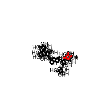 C=C1C[C@@]23CCC4[C@](C)(C(=O)OC5OC(CO)C(O)C(OC6OC(CO)C(O)C(O)C6O)C5OC5OC(CO)C(O)C(O)C5O)CCC[C@@]4(C)[C@@H]2CC[C@]1(OC1OC(COC2OC(CO)C(O)C(O)C2O)C(O)C(OC2OC(CO)C(O)CC2O)C1OC1OC(CO)C(O)C(O)C1O)C3